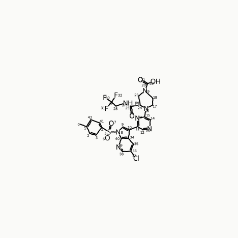 Cc1ccc(S(=O)(=O)n2cc(-c3cncc(N4CCN(C(=O)O)C[C@@H]4C(=O)NCC(F)(F)F)n3)c3cc(Cl)cnc32)cc1